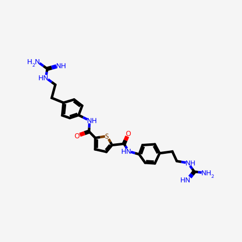 N=C(N)NCCc1ccc(NC(=O)c2ccc(C(=O)Nc3ccc(CCNC(=N)N)cc3)s2)cc1